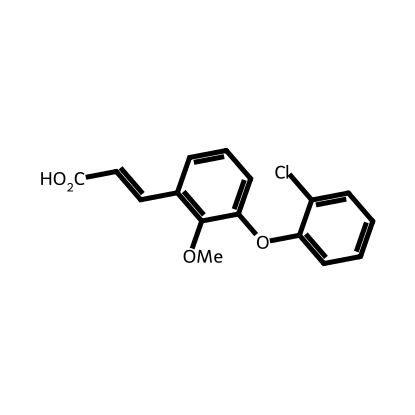 COc1c(C=CC(=O)O)cccc1Oc1ccccc1Cl